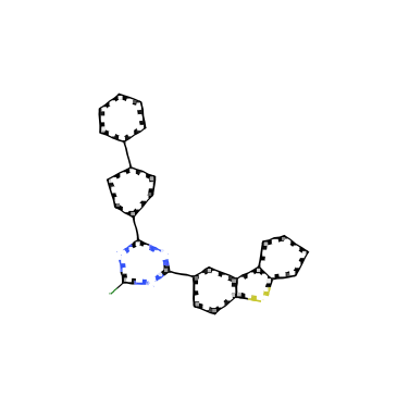 Clc1nc(-c2ccc(-c3ccccc3)cc2)nc(-c2ccc3sc4ccccc4c3c2)n1